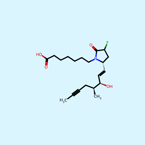 CC#CC[C@H](C)[C@H](O)/C=C/[C@H]1CC(F)C(=O)N1CCCCCCC(=O)O